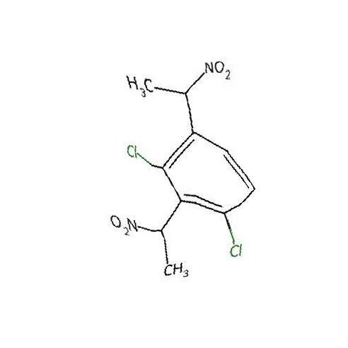 CC(c1ccc(Cl)c(C(C)[N+](=O)[O-])c1Cl)[N+](=O)[O-]